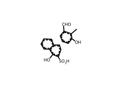 Cc1c(O)cccc1C=O.O=S(=O)(O)c1ccc2ccccc2c1O